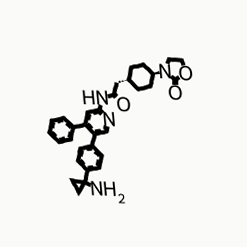 NC1(c2ccc(-c3cnc(NC(=O)C[C@H]4CC[C@H](N5CCOC5=O)CC4)cc3-c3ccccc3)cc2)CC1